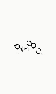 CCn1cc(N(C)c2nc(-c3ccc(F)cc3)c(C#N)s2)c2cc(N3CCN(C(C)C)CC3)ccc2c1=O